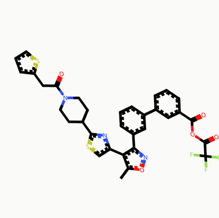 Cc1onc(-c2cccc(-c3cccc(C(=O)OC(=O)C(F)(F)F)c3)c2)c1-c1csc(C2CCN(C(=O)Cc3cccs3)CC2)n1